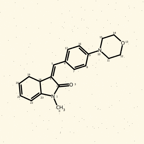 CN1C(=O)C(=Cc2ccc(N3CCOCC3)cc2)C2CC=CC=C21